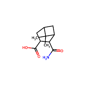 CC1(C)C2CC(C(=O)O)C(C(N)=O)C1C2